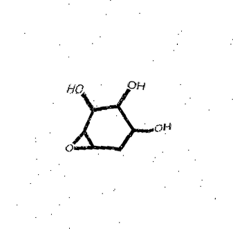 OC1CC2OC2C(O)C1O